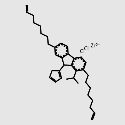 C=CCCCCCCc1ccc2c(c1)C(C1=CC=CC1)c1c-2ccc(CCCCCCC=C)c1C(C)C.[Cl-].[Cl-].[Zr+2]